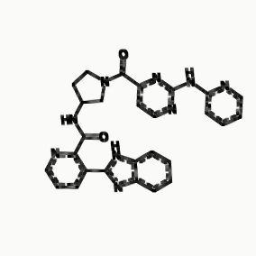 O=C(NC1CCN(C(=O)c2ccnc(Nc3ccccn3)n2)C1)c1ncccc1-c1nc2ccccc2[nH]1